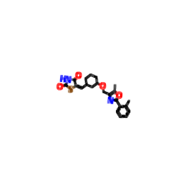 Cc1ccccc1-c1nc(COC2CCCC(C=C3SC(=O)NC3=O)C2)c(C)o1